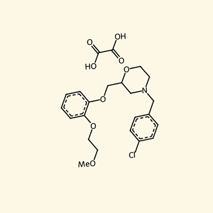 COCCOc1ccccc1OCC1CN(Cc2ccc(Cl)cc2)CCO1.O=C(O)C(=O)O